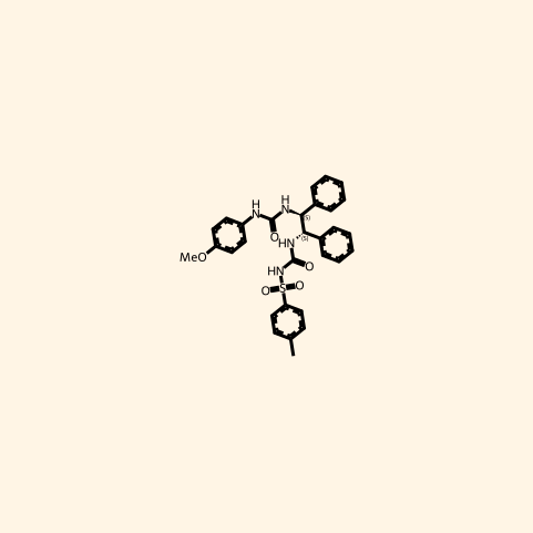 COc1ccc(NC(=O)N[C@@H](c2ccccc2)[C@@H](NC(=O)NS(=O)(=O)c2ccc(C)cc2)c2ccccc2)cc1